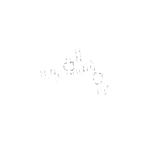 NC(=O)c1cnc(NC2C=CN(c3ccc(C(F)(F)F)cc3)N2O)cn1